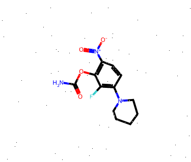 NC(=O)Oc1c([N+](=O)[O-])ccc(N2CCCCC2)c1F